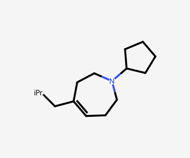 CC(C)CC1=CCCN(C2CCCC2)CC1